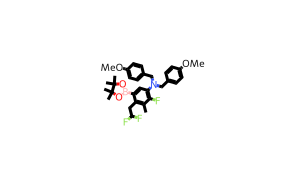 COc1ccc(CN(Cc2ccc(OC)cc2)c2cc(B3OC(C)(C)C(C)(C)O3)c(CC(F)F)c(C)c2F)cc1